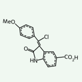 COc1ccc(C(Cl)=C2C(=O)Nc3ccc(C(=O)O)cc32)cc1